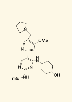 CCCCNc1ncc(-c2cc(OC)c(CN3CCCC3)cn2)c(NC2CCC(O)CC2)n1